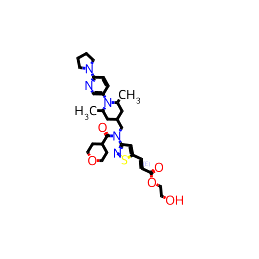 CC1CC(CN(C(=O)C2CCOCC2)c2cc(/C=C/C(=O)OCCO)sn2)CC(C)N1c1ccc(N2CCCC2)nc1